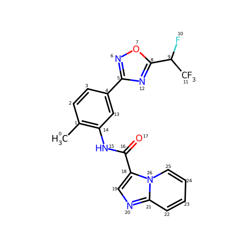 Cc1ccc(-c2noc(C(F)C(F)(F)F)n2)cc1NC(=O)c1cnc2ccccn12